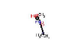 COc1cc(CNC(=O)CC(=O)CCCC/C=C/C(C)C)ccc1O